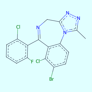 Cc1nnc2n1-c1ccc(Br)c(Cl)c1C(c1c(F)cccc1Cl)=NC2